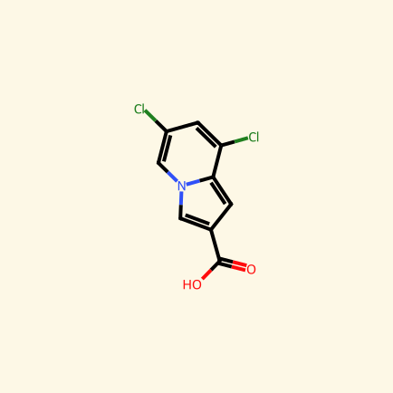 O=C(O)c1cc2c(Cl)cc(Cl)cn2c1